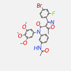 COc1cc(N(C(=O)c2c(-c3ccc(Br)cc3F)noc2C)c2cccc(NC(C)=O)c2)cc(OC)c1OC